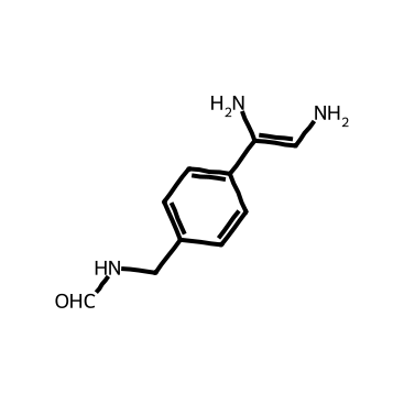 N/C=C(\N)c1ccc(CNC=O)cc1